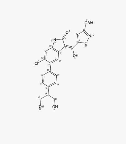 COc1cc(C(O)=C2C(=O)Nc3cc(Cl)c(-c4ccc(C(CO)CO)cc4)cc32)on1